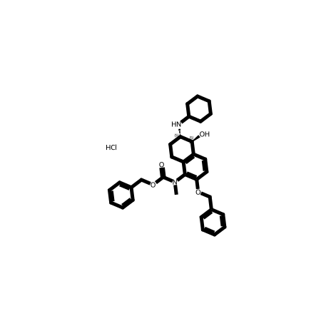 CN(C(=O)OCc1ccccc1)c1c(OCc2ccccc2)ccc2c1CC[C@H](NC1CCCCC1)[C@H]2O.Cl